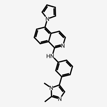 Cc1ncc(-c2cccc(Nc3nccc4c(-n5cccc5)cccc34)c2)n1C